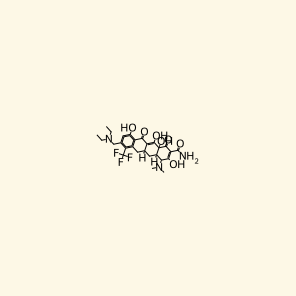 CCN(CC)Cc1cc(O)c2c(c1C(F)(F)F)C[C@H]1C[C@H]3[C@H](N(C)C)C(O)=C(C(N)=O)C(=O)[C@@]3(O)C(O)=C1C2=O